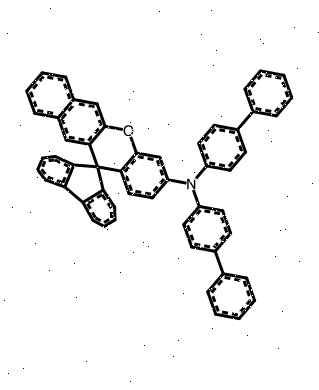 c1ccc(-c2ccc(N(c3ccc(-c4ccccc4)cc3)c3ccc4c(c3)Oc3cc5ccccc5cc3C43c4ccccc4-c4ccccc43)cc2)cc1